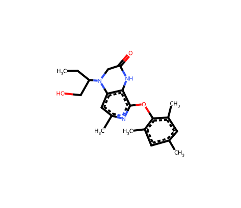 CCC(CO)N1CC(=O)Nc2c1cc(C)nc2Oc1c(C)cc(C)cc1C